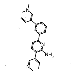 C=C/C(=C\N(C)C)c1cccc(-c2ccc(C(/C=N\C)=C/C)c(N)n2)c1